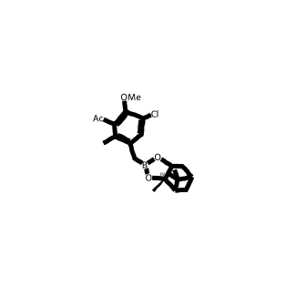 COc1c(Cl)cc(CB2OC3CC4CC(C4(C)C)[C@]3(C)O2)c(C)c1C(C)=O